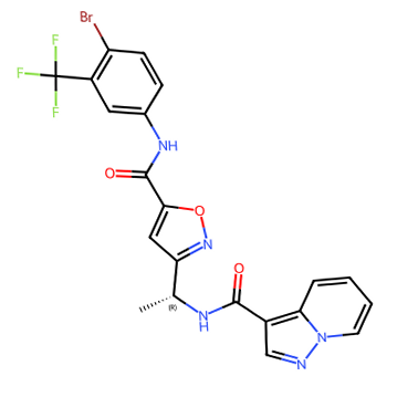 C[C@@H](NC(=O)c1cnn2ccccc12)c1cc(C(=O)Nc2ccc(Br)c(C(F)(F)F)c2)on1